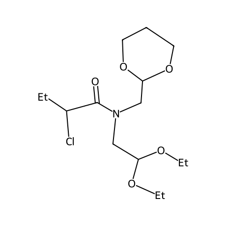 CCOC(CN(CC1OCCCO1)C(=O)C(Cl)CC)OCC